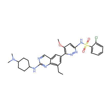 CCc1cc(-c2nnc(NS(=O)(=O)c3ccccc3Cl)cc2OC)cc2cnc(NC3CCC(N(C)C)CC3)nc12